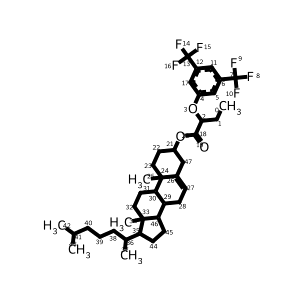 CCC(Oc1cc(C(F)(F)F)cc(C(F)(F)F)c1)C(=O)OC1CCC2(C)C(=CCC3C2CCC2(C)C(C(C)CCCC(C)C)CCC32)C1